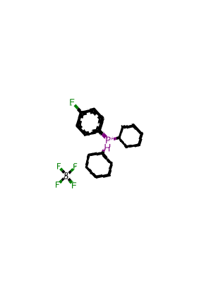 F[B-](F)(F)F.Fc1ccc([PH+](C2CCCCC2)C2CCCCC2)cc1